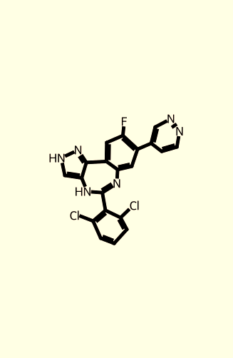 Fc1cc2c(cc1-c1ccnnc1)N=C(c1c(Cl)cccc1Cl)Nc1c[nH]nc1-2